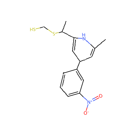 CC1=CC(c2cccc([N+](=O)[O-])c2)C=C(C(C)SCS)N1